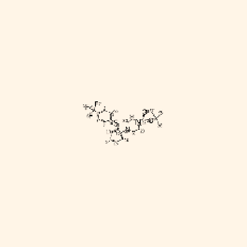 Cc1cc(C(F)(F)F)ccc1Sc1ccccc1N1CCN(C(=O)OC(C)(C)C)CC1